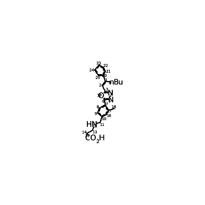 CCCC/C(=C\c1nnc(-c2ccc(CNCCC(=O)O)cc2C)o1)c1ccccc1